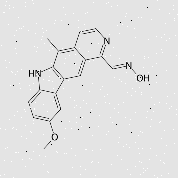 COc1ccc2[nH]c3c(C)c4ccnc(/C=N/O)c4cc3c2c1